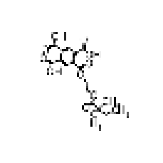 CCC(C)(C)C(=O)OCCOC(=O)c1cc(C(=O)O)c(C(=O)O)cc1C(=O)O